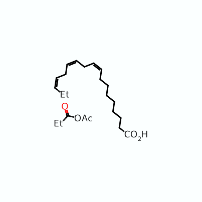 CC/C=C\C/C=C\C/C=C\CCCCCCCC(=O)O.CCC(=O)OC(C)=O